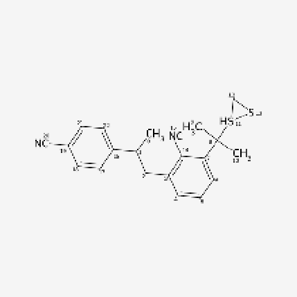 CC(Cc1cccc(C(C)(C)[SH]2CS2)c1C#N)c1ccc(C#N)cc1